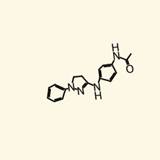 CC(=O)Nc1ccc(NC2=NN(c3ccccc3)CC2)cc1